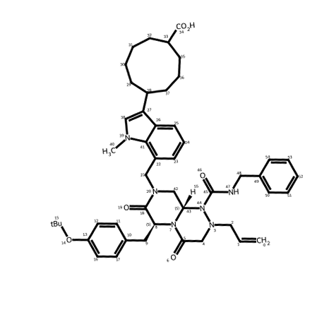 C=CCN1CC(=O)N2[C@@H](Cc3ccc(OC(C)(C)C)cc3)C(=O)N(Cc3cccc4c(C5CCCCC(C(=O)O)CCC5)cn(C)c34)C[C@@H]2N1C(=O)NCc1ccccc1